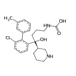 Cc1cccc(-c2c(Cl)cccc2C(O)(CCCNC(=O)O)[C@@H]2CCCNC2)c1